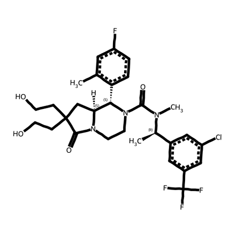 Cc1cc(F)ccc1[C@H]1[C@@H]2CC(CCO)(CCO)C(=O)N2CCN1C(=O)N(C)[C@H](C)c1cc(Cl)cc(C(F)(F)F)c1